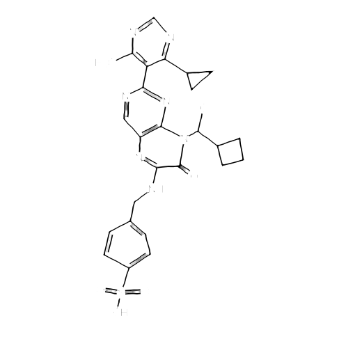 Cc1ncnc(C2CC2)c1-c1ncc2nc(NCc3ccc(S(C)(=O)=O)cc3)c(=O)n(C(C)C3CCC3)c2n1